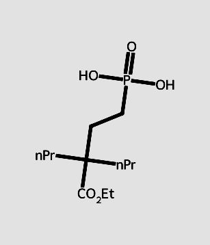 CCCC(CCC)(CCP(=O)(O)O)C(=O)OCC